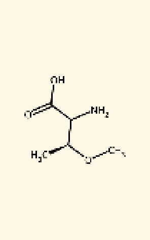 CO[C@@H](C)C(N)C(=O)O